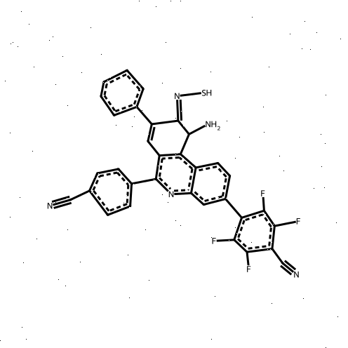 N#Cc1ccc(-c2nc3cc(-c4c(F)c(F)c(C#N)c(F)c4F)ccc3c3c2C=C(c2ccccc2)/C(=N/S)C3N)cc1